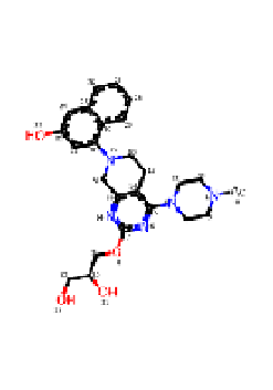 CC(=O)N1CCN(c2nc(OCC(O)CO)nc3c2CCN(c2cc(O)cc4ccccc24)C3)CC1